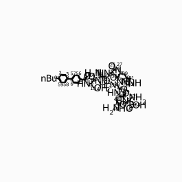 CCCCc1ccc(-c2ccc(C(=O)N[C@H](CO)C(=O)N[C@H](N)C(=O)NCC(=O)N(C)[C@@H](Cc3c[nH]cn3)C(=O)N[C@@H](N)C(=O)N[C@@H](CC(N)=O)C(=O)N[C@@H](N)B(O)O)cc2)cc1